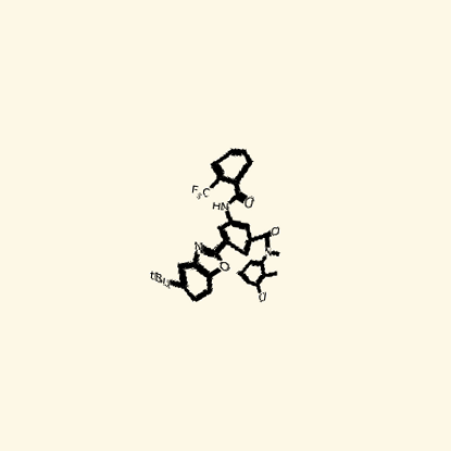 Cc1c(Cl)cccc1N(C)C(=O)c1cc(NC(=O)c2ccccc2C(F)(F)F)cc(-c2nc3cc(C(C)(C)C)ccc3o2)c1